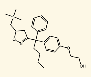 CCCCC(C1=NOC(CS(C)(C)C)C1)(c1ccccc1)c1ccc(OCCO)cc1